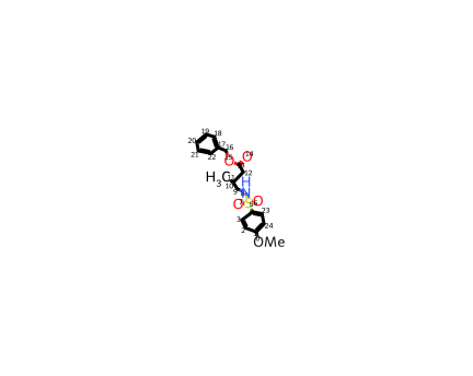 COc1ccc(S(=O)(=O)NCC(C)CC(=O)OCc2ccccc2)cc1